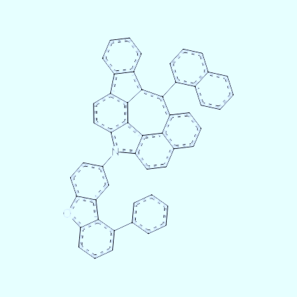 c1ccc(-c2cccc3oc4ccc(-n5c6ccc7c8c6c6c9c(cccc9c(-c9cccc%10ccccc9%10)c-8c8ccccc87)ccc65)cc4c23)cc1